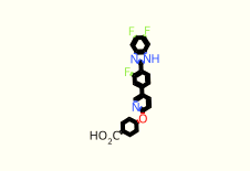 O=C(O)C1CCC(Oc2ccc(-c3ccc(-c4nc5cc(F)c(F)cc5[nH]4)c(F)c3)cn2)CC1